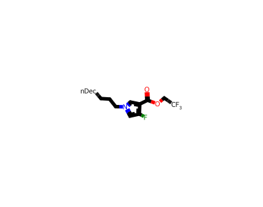 CCCCCCCCCCCCCn1cc(F)c(C(=O)OCC(F)(F)F)c1